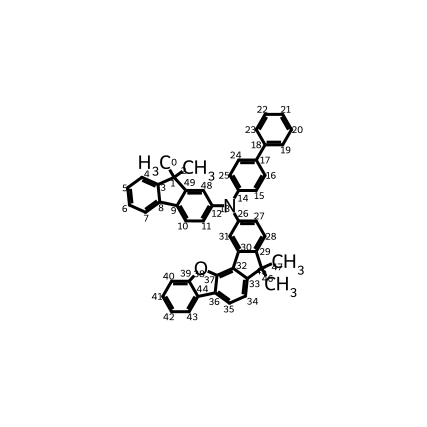 CC1(C)c2ccccc2-c2ccc(N(c3ccc(-c4ccccc4)cc3)c3ccc4c(c3)-c3c(ccc5c3oc3ccccc35)C4(C)C)cc21